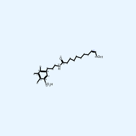 CCCCCCCC/C=C\CCCCCCCC(=O)NCCCc1cc(S(=O)(=O)O)c(C)c(C)c1C